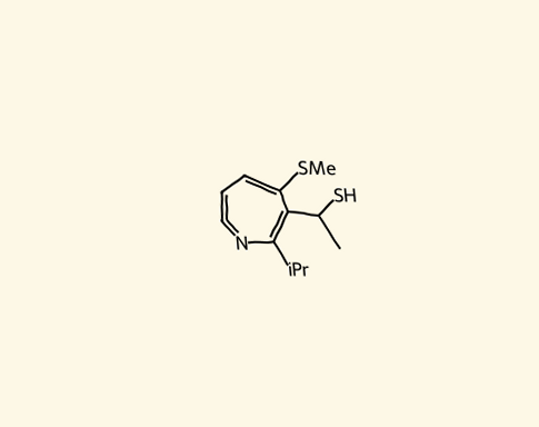 CSC1=CC=C=NC(C(C)C)=C1C(C)S